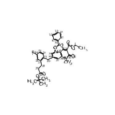 CCOC(=O)c1c(OC(=O)c2ccccc2)c2ncc(Cc3ccc(F)cc3CCC(=O)OC(C)(C)C)cc2n(C)c1=O